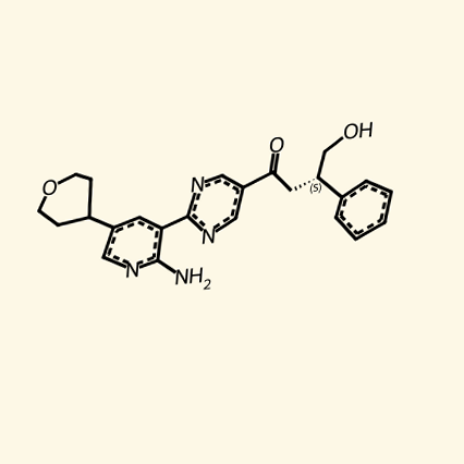 Nc1ncc(C2CCOCC2)cc1-c1ncc(C(=O)C[C@H](CO)c2ccccc2)cn1